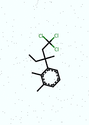 CCC(C)(CC(Cl)(Cl)Cl)c1cccc(C)c1C